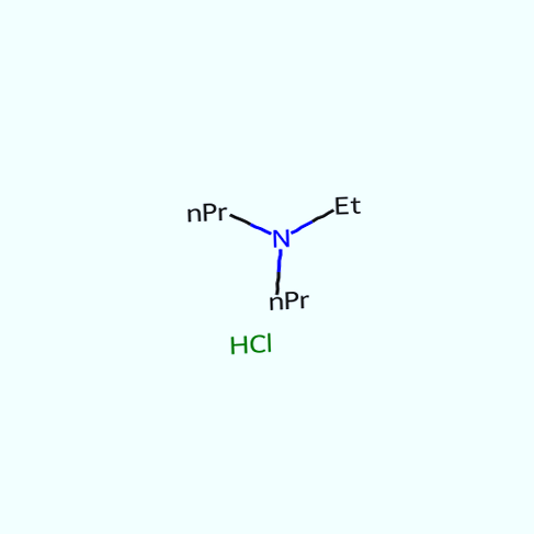 CCCN(CC)CCC.Cl